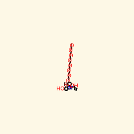 COCCOCCOCCOCCOCCOCCOCCO[C@H]1CC[C@@]2(O)[C@H]3Cc4ccc(O)c5c4[C@@]2(CCN3CC2CCC2)[C@H]1O5